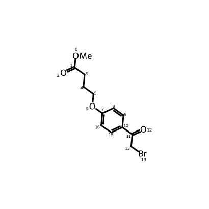 COC(=O)CCCOc1ccc(C(=O)CBr)cc1